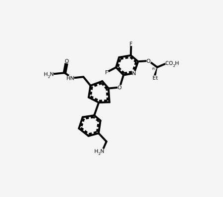 CC[C@@H](Oc1nc(Oc2cc(CNC(N)=O)cc(-c3cccc(CN)c3)c2)c(F)cc1F)C(=O)O